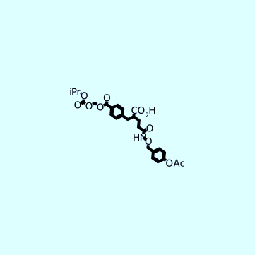 CC(=O)Oc1ccc(CONC(=O)CCC(Cc2ccc(C(=O)OCOC(=O)OC(C)C)cc2)C(=O)O)cc1